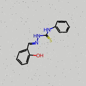 Oc1ccccc1C=NNC(=S)Nc1ccccc1